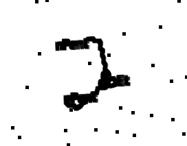 CCCCC/C=C\C/C=C\CCCCCCCCO[C@H]1C[C@H](CC)CC[C@H]1OCCCCCCCC/C=C\C/C=C\CCCCC